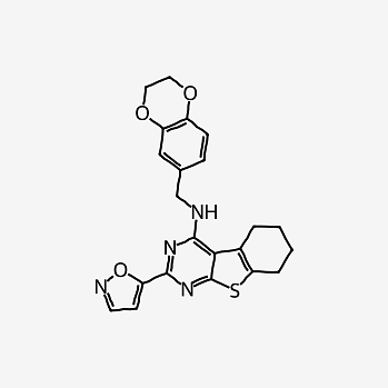 c1cc(-c2nc(NCc3ccc4c(c3)OCCO4)c3c4c(sc3n2)CCCC4)on1